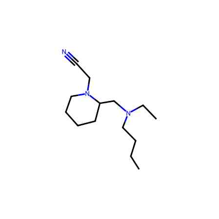 CCCCN(CC)CC1CCCCN1CC#N